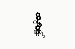 NS(=O)(=O)c1ccc2c(c1)CCN2C(=O)c1ccc2c(c1)CC=C2